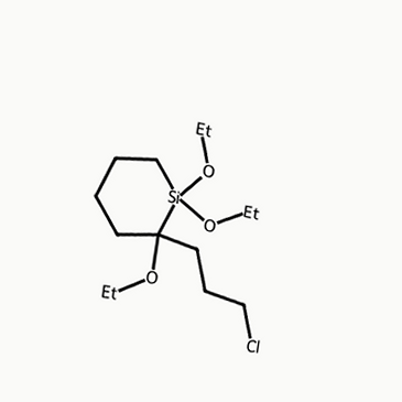 CCOC1(CCCCl)CCCC[Si]1(OCC)OCC